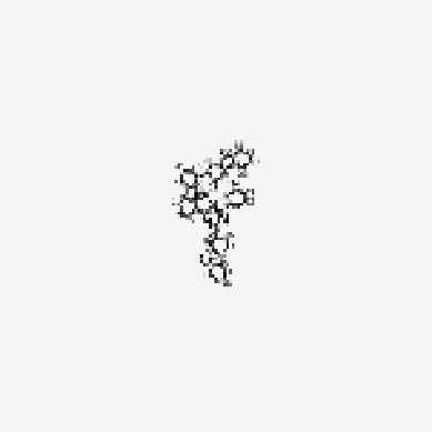 C1=CC2Oc3cc(-c4nc(-c5ccccc5)nc(-c5cccc6c5oc5c(-c7ccc8c(c7)sc7ccccc78)cccc56)n4)ccc3C2C=C1